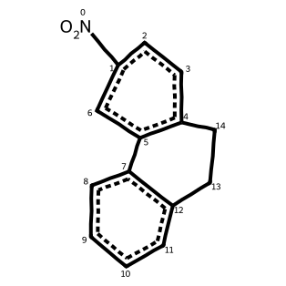 O=[N+]([O-])c1ccc2c(c1)-c1ccccc1CC2